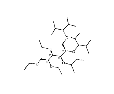 CCOC[C@H](OCC)[C@@H](OCC)[C@H](OC(C)CC)[C@@H](COC(C(C)C)C(C)C)OC(C(C)C)C(C)C